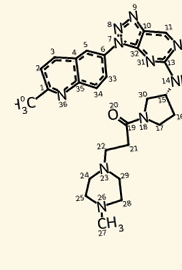 Cc1ccc2cc(-n3nnc4cnc(N[C@@H]5CCN(C(=O)CCN6CCN(C)CC6)C5)nc43)ccc2n1